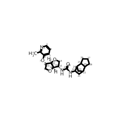 Cc1ncccc1O[C@H]1CO[C@H]2[C@@H]1OC[C@@H]2NC(=O)NC1CC2CC1C1CCCC21